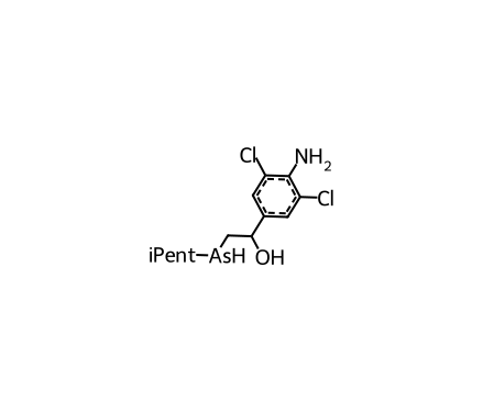 CCCC(C)[AsH]CC(O)c1cc(Cl)c(N)c(Cl)c1